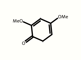 COC1=[C]C(OC)=C[CH]C1=O